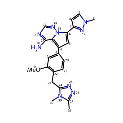 COc1cc(-c2cc(-c3ccn(C)n3)n3ncnc(N)c23)ccc1Cc1nnc(C)n1C